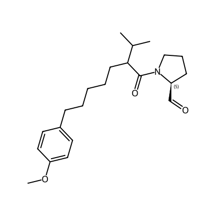 COc1ccc(CCCCCC(C(=O)N2CCC[C@H]2C=O)C(C)C)cc1